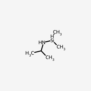 CC(C)N[SiH](C)C